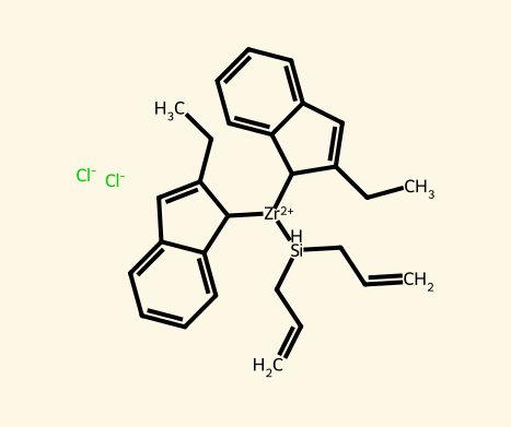 C=CC[SiH](CC=C)[Zr+2]([CH]1C(CC)=Cc2ccccc21)[CH]1C(CC)=Cc2ccccc21.[Cl-].[Cl-]